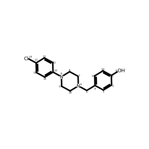 Oc1ccc(CN2CCN(c3ccc(Cl)cc3)CC2)cc1